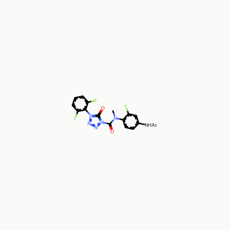 CC(=O)Nc1ccc(N(C)C(=O)n2nnn(-c3c(F)cccc3F)c2=O)c(F)c1